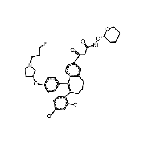 O=C(CC(=O)c1ccc2c(c1)CCCC(c1ccc(Cl)cc1Cl)=C2c1ccc(O[C@H]2CCN(CCCF)C2)cc1)NO[C@H]1CCCCO1